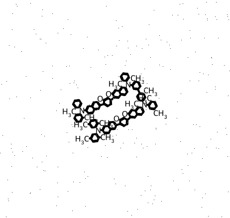 Cc1ccc(C)c(N(c2ccc3cc4c(cc3c2)oc2c4ccc3c4cc5ccc(N(c6cc(C)ccc6C)c6cc(C)c(-c7ccc(C)c(N(c8ccc9cc%10c(cc9c8)oc8c%10ccc9c%10cc%11ccc(N(c%12ccccc%12C)c%12ccccc%12C)cc%11cc%10oc98)c8ccccc8C)c7)cc6C)cc5cc4oc32)c2cc(C)ccc2C)c1